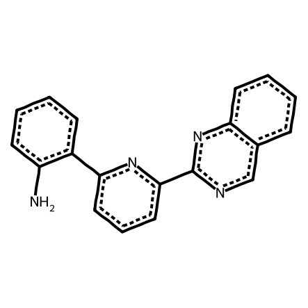 Nc1ccccc1-c1cccc(-c2ncc3ccccc3n2)n1